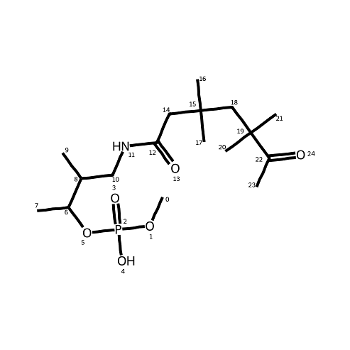 COP(=O)(O)OC(C)C(C)CNC(=O)CC(C)(C)CC(C)(C)C(C)=O